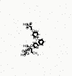 CCCS(=O)(=O)O.CCCS(=O)(=O)O.Cc1ccccc1.O=S(=O)(O)O.c1ccncc1.c1ccncc1